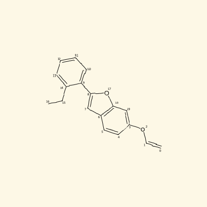 C=COc1ccc2cc(-c3ccccc3CC)oc2c1